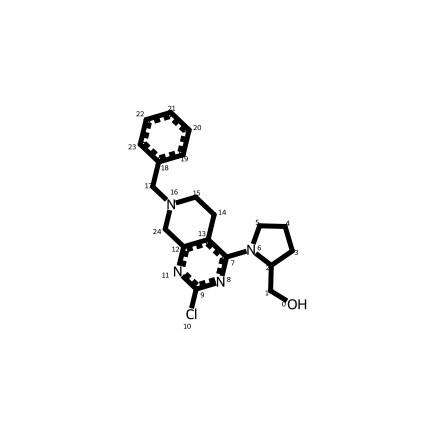 OCC1CCCN1c1nc(Cl)nc2c1CCN(Cc1ccccc1)C2